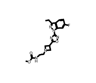 CCc1nn(-c2noc(C3CN(CCNC(=O)OC)C3)n2)c2cc(F)ccc12